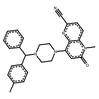 Cc1ccc(C(c2ccccc2)N2CCN(c3cc(=O)n(C)c4ccc(C#N)nc34)CC2)cc1